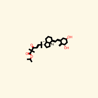 C=C1/C(=C\C=C2/CCC[C@]3(C)[C@@H](C(C)(C)/C=C/C(=O)C(C)(C)C(=O)OC(C)C)CC[C@@H]23)C[C@@H](O)C[C@@H]1O